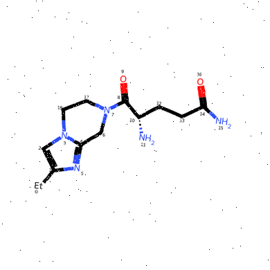 CCc1cn2c(n1)CN(C(=O)[C@@H](N)CCC(N)=O)CC2